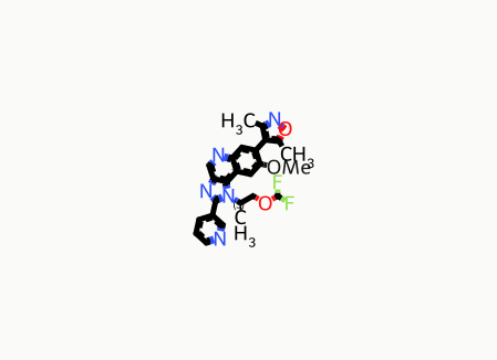 COc1cc2c(cc1-c1c(C)noc1C)ncc1nc(-c3cccnc3)n([C@@H](C)COC(F)F)c12